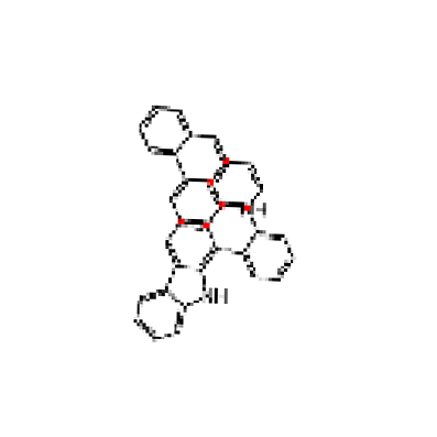 c1ccc(-c2ccc3c([nH]c4ccccc43)c2-c2ccccc2Nc2cccc3c2ccc2ccccc23)cc1